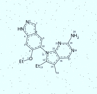 CCOc1cc2[nH]ncc2cc1-n1c(CC)c(C)c2cnc(N)nc21